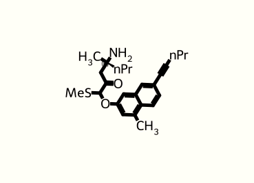 CCCC#Cc1ccc2c(C)cc(OC(SC)C(=O)C[C@](C)(N)CCC)cc2c1